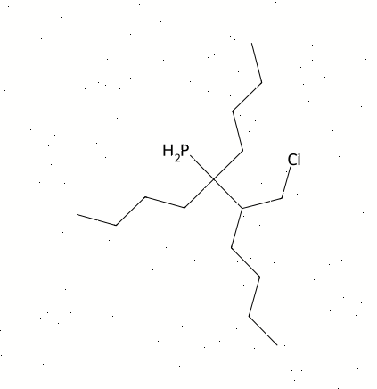 CCCCC(CCl)C(P)(CCCC)CCCC